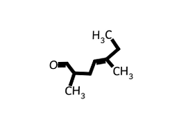 CCC(C)=CCC(C)C=O